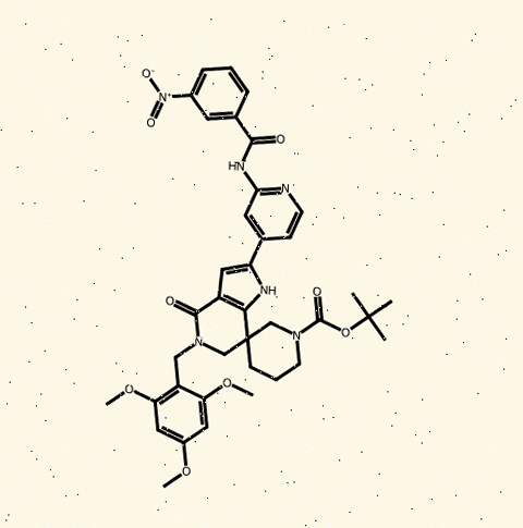 COc1cc(OC)c(CN2CC3(CCCN(C(=O)OC(C)(C)C)C3)c3[nH]c(-c4ccnc(NC(=O)c5cccc([N+](=O)[O-])c5)c4)cc3C2=O)c(OC)c1